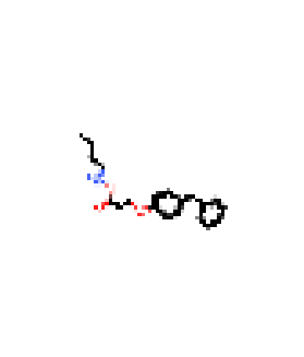 CCCCNOC(=O)CCOc1ccc(Cc2ccccc2)cc1